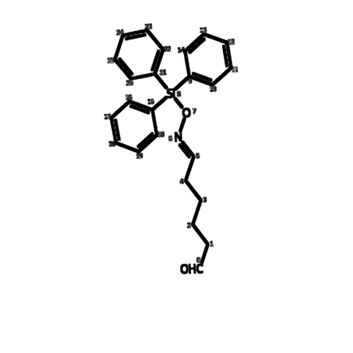 O=CCCCCC=NO[Si](c1ccccc1)(c1ccccc1)c1ccccc1